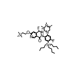 CCC[CH2][Sn]([CH2]CCC)([CH2]CCC)[c]1cc(NC(=O)c2cnc(OCC[Si](C)(C)C)cc2C(F)F)c(N2C[C@@H](C)N(C)[C@@H](C)C2)cc1F